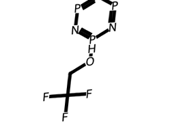 FC(F)(F)CO[PH]1=NP=NP=N1